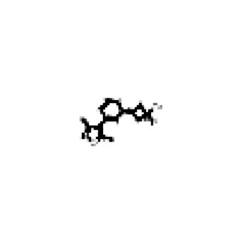 Cc1noc(C)c1C1=CC(C2CC(F)(F)C2)CC=C1